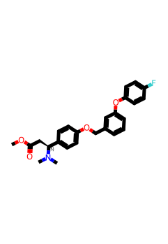 COC(=O)C[C@@H](c1ccc(OCc2cccc(Oc3ccc(F)cc3)c2)cc1)N(C)C